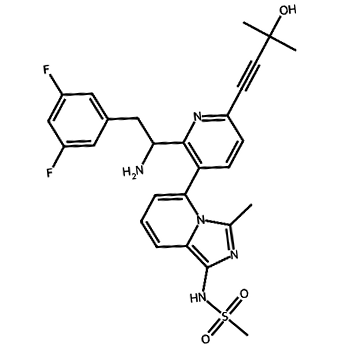 Cc1nc(NS(C)(=O)=O)c2cccc(-c3ccc(C#CC(C)(C)O)nc3C(N)Cc3cc(F)cc(F)c3)n12